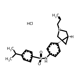 C=CCN1C[C@H]2C[C@@]2(c2ccc(NS(=O)(=O)c3ccc(C(C)C)cc3)cc2)C1.Cl